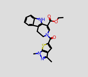 CCOC(=O)C1=CN(C(=O)c2cc3c(C)nn(C)c3s2)CCc2c1[nH]c1ccccc21